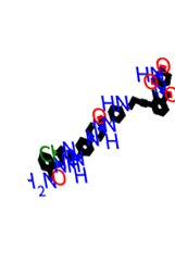 NC(=O)c1ccccc1Nc1nc(Nc2ccc(N3CCN(C(=O)N[C@H]4CC[C@@H](NCCC#Cc5cccc6c5CN(C5CCC(=O)NC5=O)C6=O)CC4)CC3)cc2)ncc1Cl